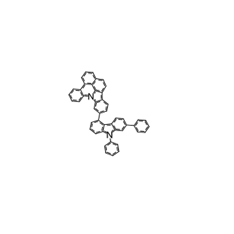 c1ccc(-c2ccc3c4c(-c5ccc6c7ccc8cccc9c%10ccccc%10n(c6c5)c7c89)cccc4n(-c4ccccc4)c3c2)cc1